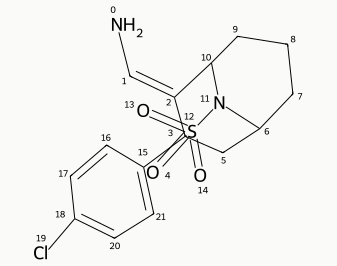 NC=C1C(=O)CC2CCCC1N2S(=O)(=O)c1ccc(Cl)cc1